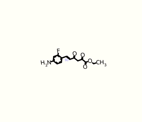 CCOC(=O)C(=O)CC(=O)/C=C/c1ccc(N)cc1F